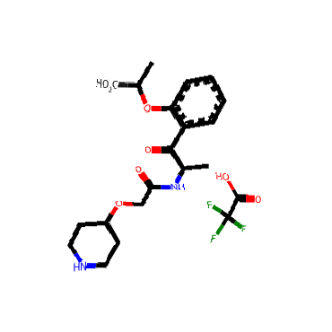 CC(NC(=O)COC1CCNCC1)C(=O)c1ccccc1OC(C)C(=O)O.O=C(O)C(F)(F)F